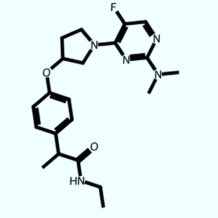 CCNC(=O)C(C)c1ccc(OC2CCN(c3nc(N(C)C)ncc3F)C2)cc1